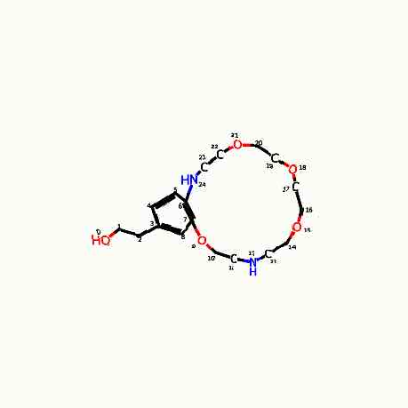 OCCc1ccc2c(c1)OCCNCCOCCOCCOCCN2